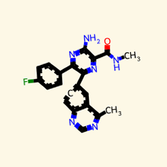 CNC(=O)c1nc(-c2ccc3ncnc(C)c3c2)c(-c2ccc(F)cc2)nc1N